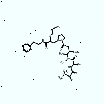 CCC(C)C(C(CC(=O)N1CCCC1CC(SCCO)C(=O)NCCc1ccccc1)OC)N(C)C(=O)C(NC(=O)C(C(C)C)N(C)C)C(C)C